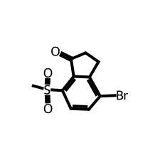 CS(=O)(=O)c1ccc(Br)c2c1C(=O)CC2